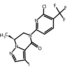 C[C@H]1CN(c2ccc(C(F)(F)F)c(Cl)n2)C(=O)c2c(I)cnn21